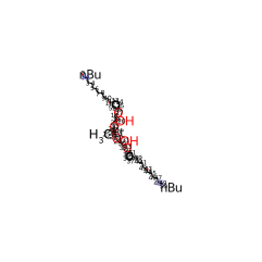 CCCC/C=C/CCCCCCCCCc1cccc(OCC(O)COCC(C)(CC)COCC(O)COc2cccc(CCCCCCCCC/C=C/CCCC)c2)c1